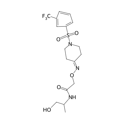 CC(CO)NC(=O)CON=C1CCN(S(=O)(=O)c2cccc(C(F)(F)F)c2)CC1